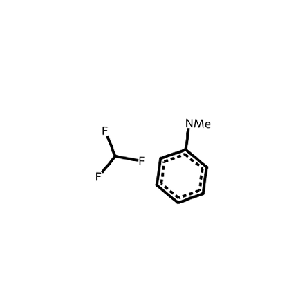 CNc1ccccc1.FC(F)F